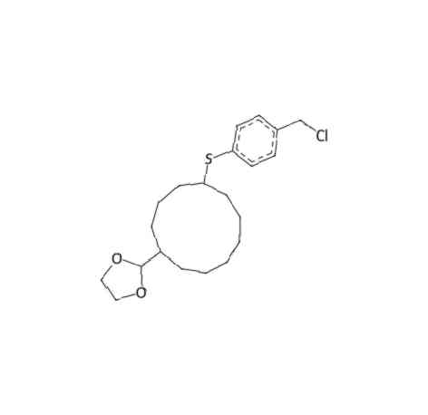 ClCc1ccc(SC2CCCCCCC(C3OCCO3)CCC2)cc1